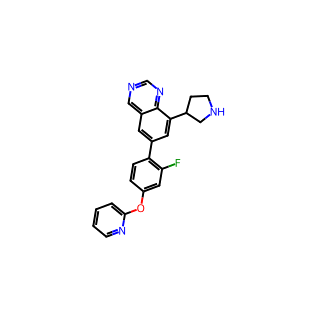 Fc1cc(Oc2ccccn2)ccc1-c1cc(C2CCNC2)c2ncncc2c1